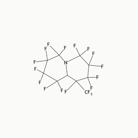 FC(F)(F)C1(F)C2N(C(F)(F)C(F)(F)C(F)(F)C2(F)F)C(F)(F)C(F)(F)C1(F)F